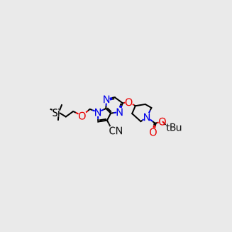 CC(C)(C)OC(=O)N1CCC(Oc2cnc3c(n2)c(C#N)cn3COCC[Si](C)(C)C)CC1